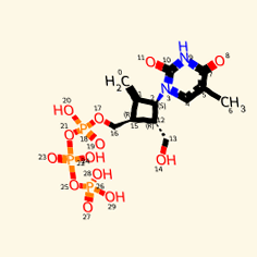 C=C1[C@@H](n2cc(C)c(=O)[nH]c2=O)[C@H](CO)[C@H]1COP(=O)(O)OP(=O)(O)OP(=O)(O)O